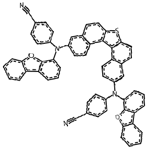 N#Cc1ccc(N(c2ccc3c(ccc4sc5ccc6cc(N(c7ccc(C#N)cc7)c7cccc8c7oc7ccccc78)ccc6c5c43)c2)c2cccc3c2oc2ccccc23)cc1